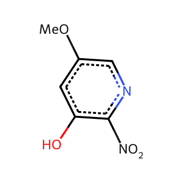 COc1cnc([N+](=O)[O-])c(O)c1